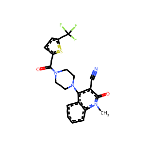 Cn1c(=O)c(C#N)c(N2CCN(C(=O)c3ccc(C(F)(F)F)s3)CC2)c2ccccc21